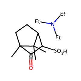 CC12CCC(C(S(=O)(=O)O)C1=O)C2(C)C.CCN(CC)CC